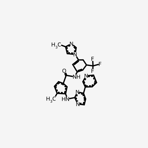 Cc1cn(C2=CC(NC(=O)c3ccc(C)c(Nc4nccc(-c5cccnc5)n4)c3)=CC(C(F)(F)F)C2)cn1